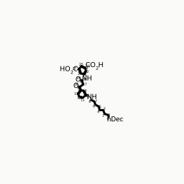 CCCCCCCCCCCCCCCCCCNc1cccc(C(=O)CC(=O)Nc2cc(C(=O)O)cc(C(=O)O)c2)c1